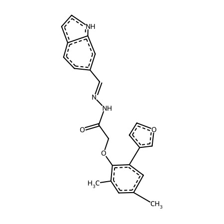 Cc1cc(C)c(OCC(=O)N/N=C/c2ccc3cc[nH]c3c2)c(-c2ccoc2)c1